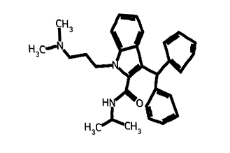 CC(C)NC(=O)c1c(C(c2ccccc2)c2ccccc2)c2ccccc2n1CCCN(C)C